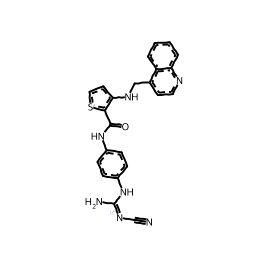 N#C/N=C(/N)Nc1ccc(NC(=O)c2sccc2NCc2ccnc3ccccc23)cc1